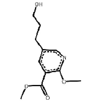 COC(=O)c1cc(CCCO)cnc1OC